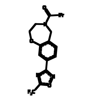 CC(C)C(=O)N1CCOc2cc(-c3noc(C(F)(F)F)n3)ccc2C1